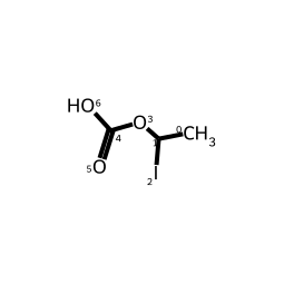 CC(I)OC(=O)O